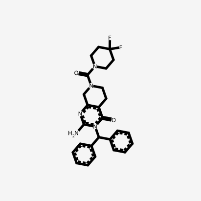 Nc1nc2c(c(=O)n1C(c1ccccc1)c1ccccc1)CCN(C(=O)N1CCC(F)(F)CC1)C2